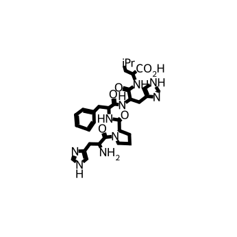 CC(C)CC(NC(=O)C(Cc1c[nH]cn1)NC(=O)C(Cc1ccccc1)NC(=O)C1CCCN1C(=O)C(N)Cc1c[nH]cn1)C(=O)O